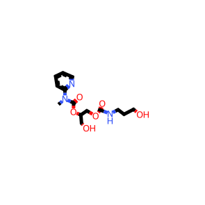 CN(C(=O)OC(CO)COC(=O)NCCCO)c1ccccn1